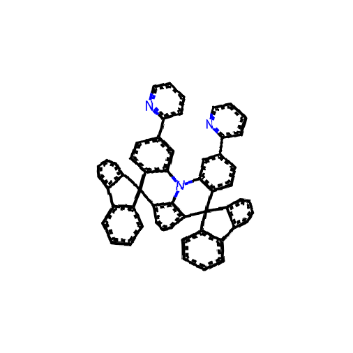 c1ccc(-c2ccc3c(c2)N2c4cc(-c5ccccn5)ccc4C4(c5ccccc5-c5ccccc54)c4cccc(c42)C32c3ccccc3-c3ccccc32)nc1